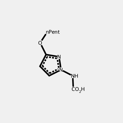 CCCCCOc1ccn(NC(=O)O)n1